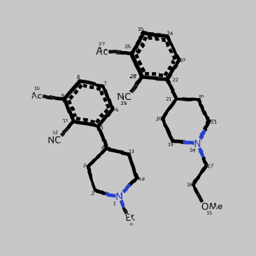 CCN1CCC(c2cccc(C(C)=O)c2C#N)CC1.COCCN1CCC(c2cccc(C(C)=O)c2C#N)CC1